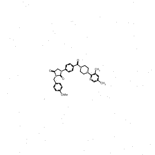 COc1ccc(CN2C(=O)CN(c3ccc(C(=O)N4CCN(c5ncc(C)cc5C)CC4)cc3)C2=O)cc1